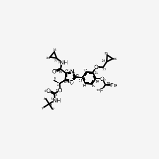 C[C@H](OC(=O)NC(C)(C)C)c1oc(-c2ccc(OC(F)F)c(OCC3CC3)c2)nc1C(=O)NC1CC1